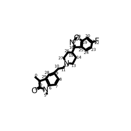 CC1C(=O)N(C)c2ccc(CCN3CCC(c4noc5cc(F)ccc45)CC3)cc21